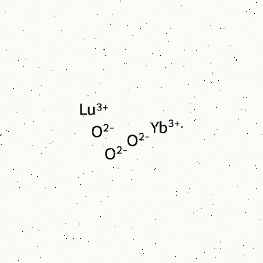 [Lu+3].[O-2].[O-2].[O-2].[Yb+3]